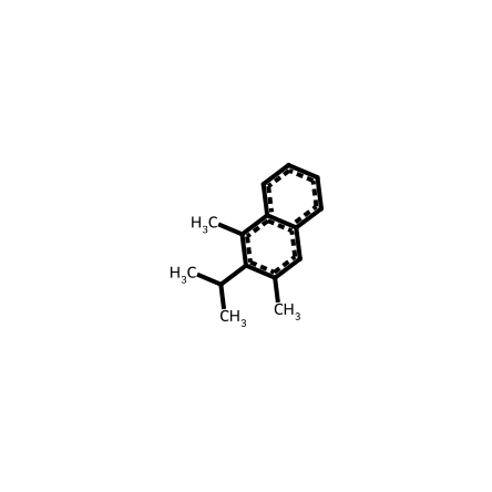 Cc1cc2ccccc2c(C)c1C(C)C